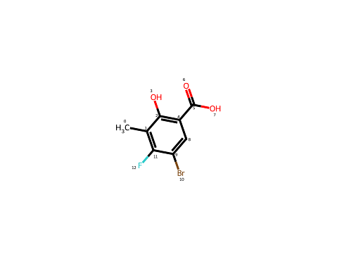 Cc1c(O)c(C(=O)O)cc(Br)c1F